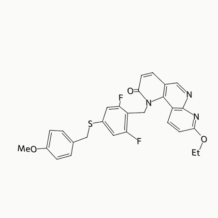 CCOc1ccc2c(ncc3ccc(=O)n(Cc4c(F)cc(SCc5ccc(OC)cc5)cc4F)c32)n1